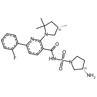 C[C@@H]1CN(c2nc(-c3ccccc3F)ccc2C(=O)NS(=O)(=O)N2CC[C@H](N)C2)C(C)(C)C1